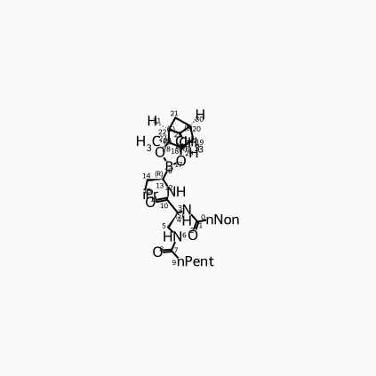 CCCCCCCCCC(=O)N[C@@H](CNC(=O)CCCCC)C(=O)N[C@@H](CC(C)C)B1O[C@@H]2C[C@@H]3C[C@@H](C3(C)C)[C@]2(C)O1